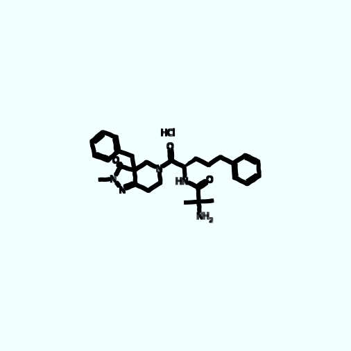 CN1N=C2CCN(C(=O)[C@@H](CCCc3ccccc3)NC(=O)C(C)(C)N)CC2(Cc2ccccc2)C1=O.Cl